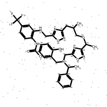 CC(=O)Nc1ccc(C(F)(F)F)cc1NCc1nc(CC(C)COC(C)c2noc(CN(Cc3ccccc3O)C(C)c3ccccc3)n2)no1